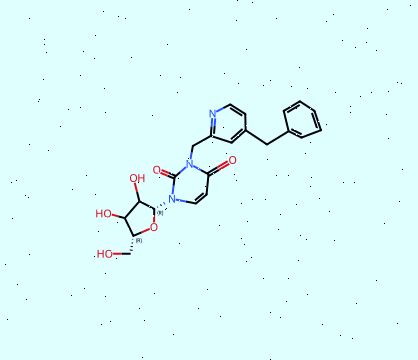 O=c1ccn([C@@H]2O[C@H](CO)C(O)C2O)c(=O)n1Cc1cc(Cc2ccccc2)ccn1